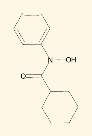 O=C(C1CCCCC1)N(O)c1ccccc1